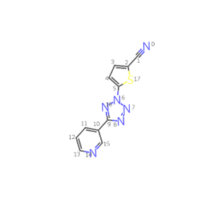 N#Cc1ccc(-n2nnc(-c3cccnc3)n2)s1